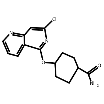 NC(=O)C1CCC(Oc2nc(Cl)cc3ncccc23)CC1